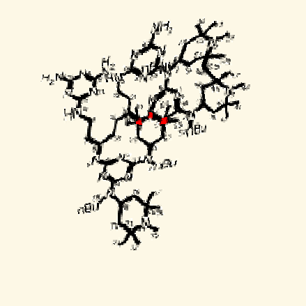 CCCCN(c1nc(N=C(CCNc2nc(N)nc(N)n2)CCC(CCNc2nc(N)nc(N)n2)=Nc2nc(N(CCCC)C3CC(C)(C)N(C)C(C)(C)C3)nc(N(CCCC)C3CC(C)(C)N(C)C(C)(C)C3)n2)nc(N(CCCC)C2CC(C)(C)N(C)C(C)(C)C2)n1)C1CC(C)(C)N(C)C(C)(C)C1